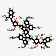 [C-]#[N+]/C(C#N)=C1\C(=C\c2cc(OCCCCCCCC)c(-c3cc4c(s3)-c3cc5c(cc3C4(c3ccc(CCCCCC)cc3)c3ccc(CCCCCC)cc3)-c3sc(-c4cc(OCCCCCCCC)c(/C=C6\C(=O)c7cc(F)c(F)cc7\C6=C(\C#N)[N+]#[C-])cc4OCCCCCCCC)cc3C5(c3ccc(CCCCCC)cc3)c3ccc(CCCCCC)cc3)cc2OCCCCCCCC)Cc2cc(F)c(F)cc21